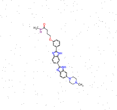 CPC(=O)CCCOc1cccc(-c2nc3ccc(-c4nc5ccc(N6CCN(C)CC6)cc5[nH]4)cc3[nH]2)c1